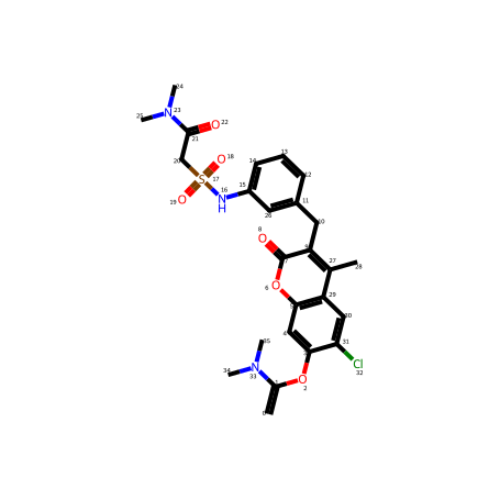 C=C(Oc1cc2oc(=O)c(Cc3cccc(NS(=O)(=O)CC(=O)N(C)C)c3)c(C)c2cc1Cl)N(C)C